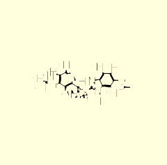 [2H]c1nc(C([2H])([2H])[S+]([O-])c2nc3c([2H])c([2H])c(OC(F)F)c([2H])c3[nH]2)c(OC)c(OC([2H])([2H])[2H])c1[2H]